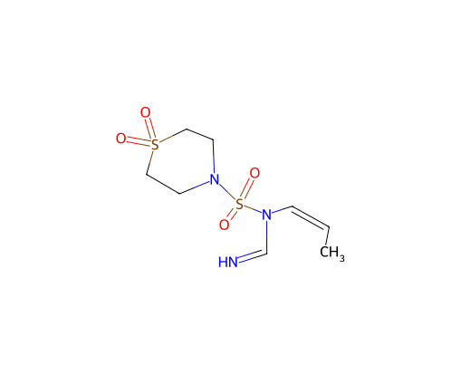 C/C=C\N(C=N)S(=O)(=O)N1CCS(=O)(=O)CC1